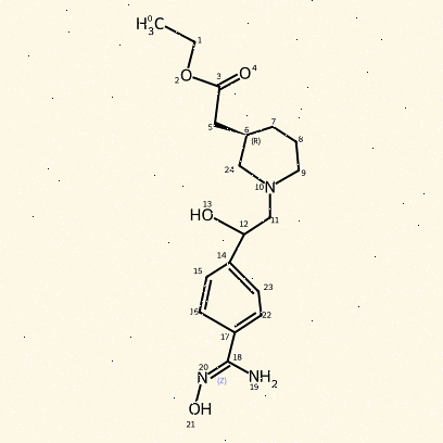 CCOC(=O)C[C@H]1CCCN(CC(O)c2ccc(/C(N)=N/O)cc2)C1